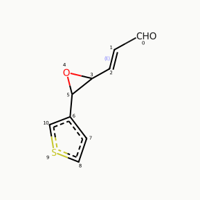 O=C/C=C/C1OC1c1ccsc1